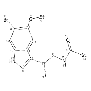 CCOc1cc2c(C(C)CNC(=O)CC)c[nH]c2cc1Br